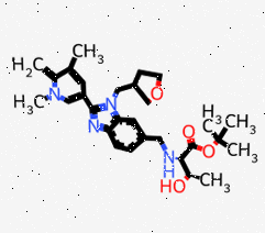 C=C1C(C)=CC(c2nc3ccc(CN[C@H](C(=O)OC(C)(C)C)[C@@H](C)O)cc3n2CC2CCOC2)=CN1C